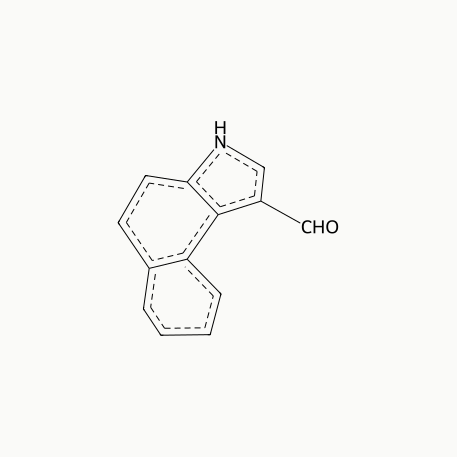 O=Cc1c[nH]c2ccc3ccccc3c12